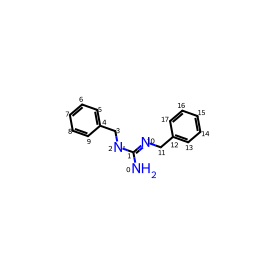 NC([N]Cc1ccccc1)=NCc1ccccc1